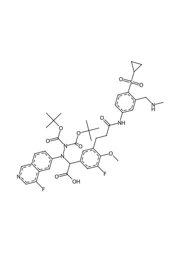 CNCc1cc(NC(=O)CCc2cc(C(C(=O)O)N(c3ccc4cncc(F)c4c3)N(C(=O)OC(C)(C)C)C(=O)OC(C)(C)C)cc(F)c2OC)ccc1S(=O)(=O)C1CC1